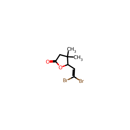 CC1(C)CC(=O)OC1C=C(Br)Br